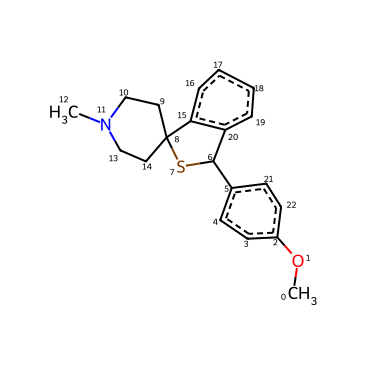 COc1ccc(C2SC3(CCN(C)CC3)c3ccccc32)cc1